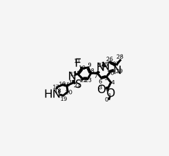 COC(=O)Cc1cc(-c2cc(F)c3nc(C4CCNCC4)sc3c2)nn2cc(C)nc12